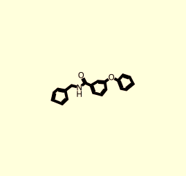 O=C(NCc1ccccc1)c1cccc(Oc2ccccc2)c1